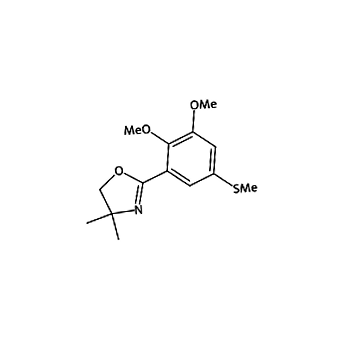 COc1cc(SC)cc(C2=NC(C)(C)CO2)c1OC